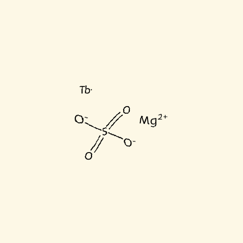 O=S(=O)([O-])[O-].[Mg+2].[Tb]